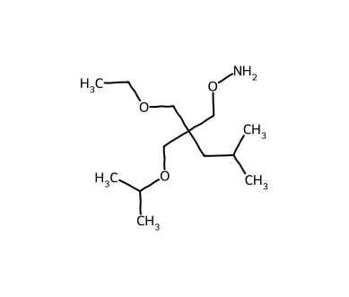 CCOCC(CON)(COC(C)C)CC(C)C